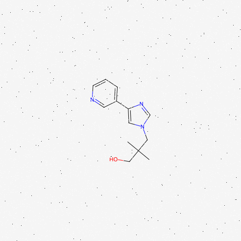 CC(C)(CO)Cn1cnc(-c2cccnc2)c1